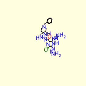 NN=NC1=C(Cl)N=C(C(=O)/N=C2/NCC3(CCN(Cc4ccccc4)CC3)N2)C(N=NN)N1